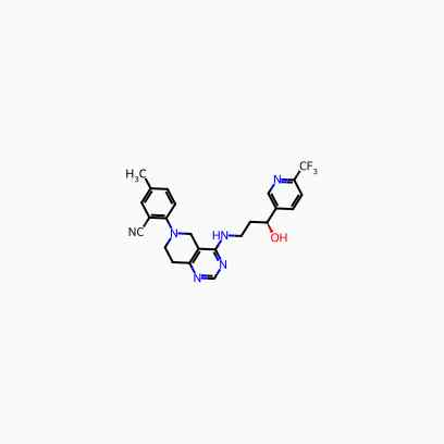 Cc1ccc(N2CCc3ncnc(NCC[C@H](O)c4ccc(C(F)(F)F)nc4)c3C2)c(C#N)c1